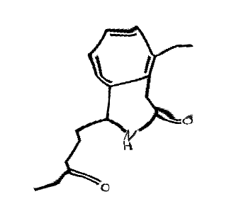 CC(=O)CC1NC(=O)c2c(C)cccc21